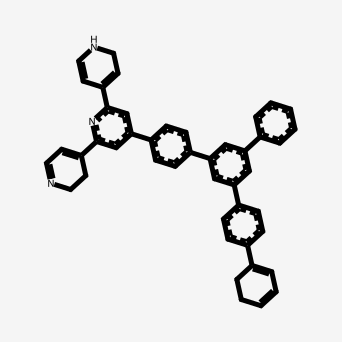 C1=CCCC(c2ccc(-c3cc(-c4ccccc4)cc(-c4ccc(-c5cc(C6=CCNC=C6)nc(C6=CC=NCC6)c5)cc4)c3)cc2)=C1